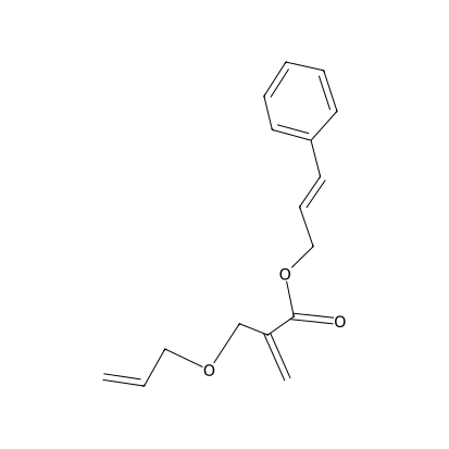 C=CCOCC(=C)C(=O)OCC=Cc1ccccc1